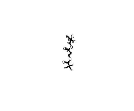 CC(C)(C)C(=O)OCCC(=O)OCC(F)(F)F